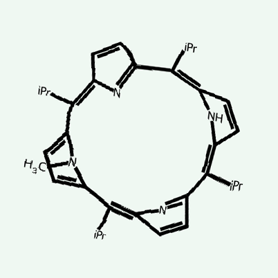 CC(C)c1c2nc(c(C(C)C)c3ccc(c(C(C)C)c4nc(c(C(C)C)c5ccc1[nH]5)C=C4)n3C)C=C2